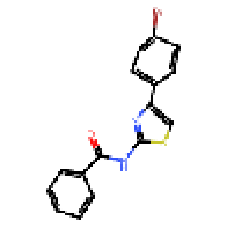 O=C(Nc1nc(-c2ccc(Br)cc2)cs1)c1ccccc1